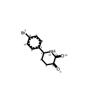 O=C1CCC(c2ccc(Br)cc2)NC1=O